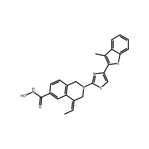 C/C=C1/CN(c2nc(-c3sc4ccccc4c3C)cs2)Cc2ccc(C(=O)NO)cc21